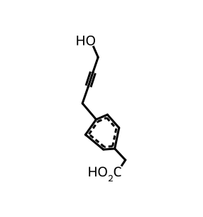 O=C(O)Cc1ccc(CC#CCO)cc1